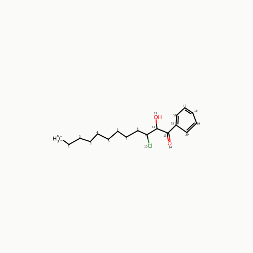 CCCCCCCCCC(Cl)C(O)C(=O)c1ccccc1